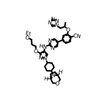 CCOCCCOc1nn(C2CCC(N3[C@@H]4CC[C@H]3COC4)CC2)cc1Nc1ncc(-c2ccc(C#N)c(OC(C)Cn3cnnn3)c2)cn1